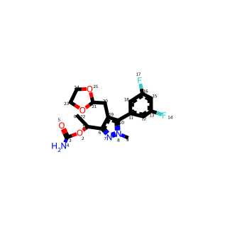 CC(OC(N)=O)c1nn(C)c(-c2cc(F)cc(F)c2)c1CC1OCCO1